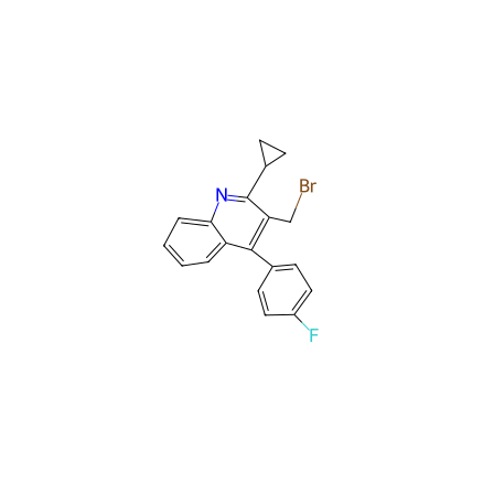 Fc1ccc(-c2c(CBr)c(C3CC3)nc3ccccc23)cc1